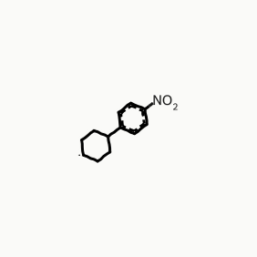 O=[N+]([O-])c1ccc(C2CC[CH]CC2)cc1